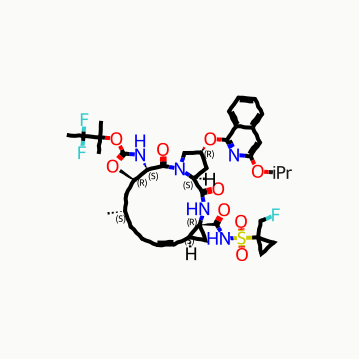 CC(C)Oc1cc2ccccc2c(O[C@@H]2C[C@H]3C(=O)N[C@]4(C(=O)NS(=O)(=O)C5(CF)CC5)C[C@H]4C=CCC[C@H](C)C[C@@H](C)[C@H](NC(=O)OC(C)(C)C(C)(F)F)C(=O)N3C2)n1